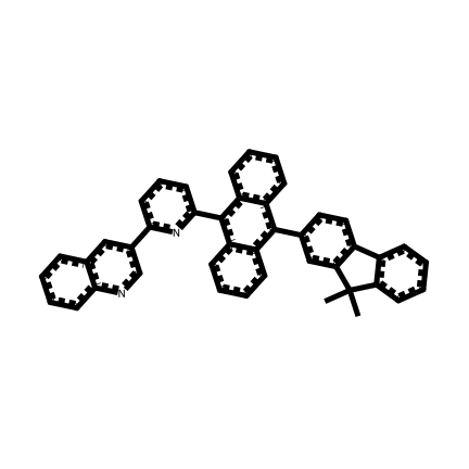 CC1(C)c2ccccc2-c2ccc(-c3c4ccccc4c(-c4cccc(-c5cnc6ccccc6c5)n4)c4ccccc34)cc21